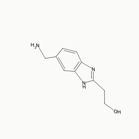 NCc1ccc2nc(CCO)[nH]c2c1